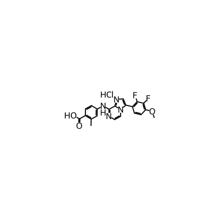 COc1ccc(-c2cnc3c(Nc4ccc(C(=O)O)c(C)c4)nccn23)c(F)c1F.Cl